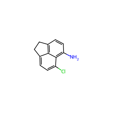 Nc1ccc2c3c(ccc(Cl)c13)CC2